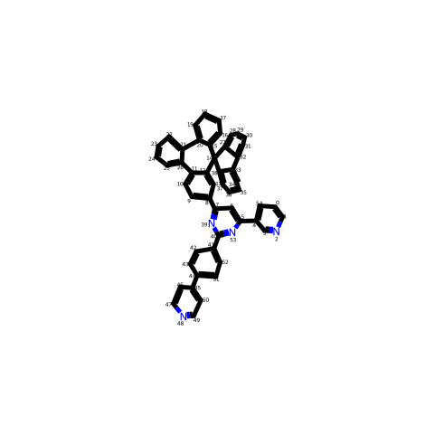 c1cncc(-c2cc(-c3ccc4c(c3)C3(c5ccccc5-c5ccccc5-4)c4ccccc4-c4ccccc43)nc(-c3ccc(-c4ccncc4)cc3)n2)c1